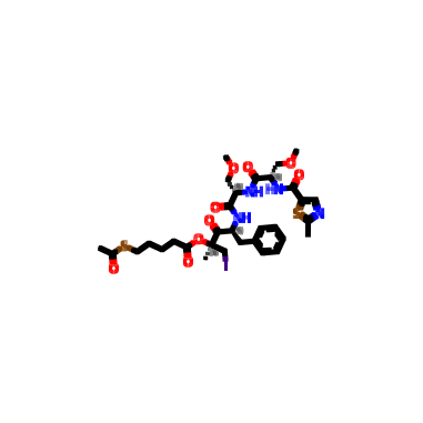 COC[C@H](NC(=O)c1cnc(C)s1)C(=O)N[C@@H](COC)C(=O)N[C@@H](Cc1ccccc1)C(=O)[C@@](C)(CI)OC(=O)CCCCSC(C)=O